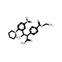 CCOC(=O)c1ccc(C(C(N)=O)C(C)c2cc([N+](=O)[O-])ccc2N2CCCCC2)cc1